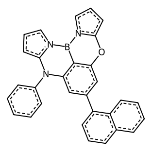 c1ccc(N2c3cc(-c4cccc5ccccc45)cc4c3B(n3cccc3O4)n3cccc32)cc1